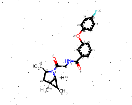 C[C@@H]1[C@@H]2N(C(=O)CNC(=O)c3cccc(Oc4ccc(F)cc4)c3)[C@H](C(=O)O)C[C@]12C